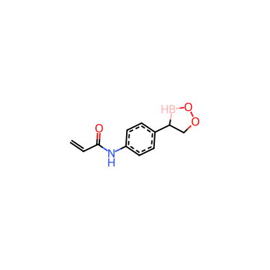 C=CC(=O)Nc1ccc(C2BOOC2)cc1